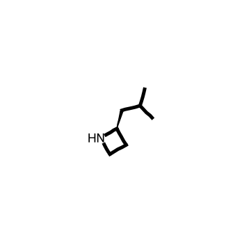 CC(C)C[C@H]1CCN1